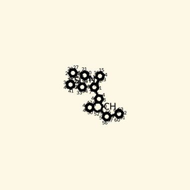 CC1c2ccc(-c3ccc4c(c3)c3ccccc3n4-c3cccc([Si](c4ccccc4)(c4ccccc4)c4ccccc4)c3)cc2-c2ccccc2CC1c1cccc(-c2ccccc2)c1